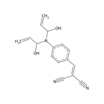 C=CC(O)N(c1ccc(C=C(C#N)C#N)cc1)C(O)C=C